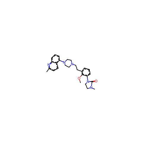 COc1c(CCN2CCN(c3cccc4nc(C)ccc34)CC2)cccc1N1CCN(C)C1=O